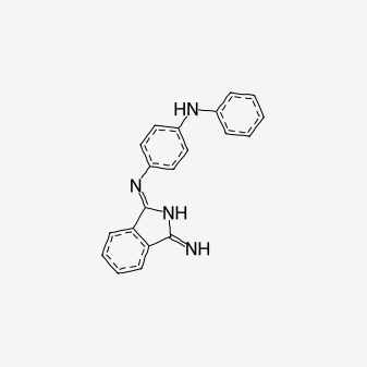 N=C1NC(=Nc2ccc(Nc3ccccc3)cc2)c2ccccc21